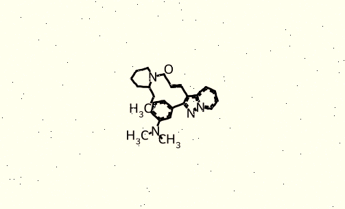 CCC1CCCCN1C(=O)C=Cc1c(-c2cccc(N(C)C)c2)nn2ccccc12